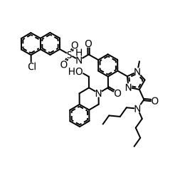 CCCCN(CCCC)C(=O)c1cn(C)c(-c2ccc(C(=O)NS(=O)(=O)c3ccc4cccc(Cl)c4c3)cc2C(=O)N2Cc3ccccc3CC2CO)n1